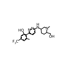 Cc1cc(C(F)(F)F)cc(O)c1-c1ccc(NC2CCC(CO)N(C)C2)nn1